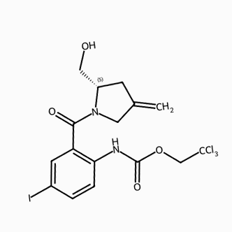 C=C1C[C@@H](CO)N(C(=O)c2cc(I)ccc2NC(=O)OCC(Cl)(Cl)Cl)C1